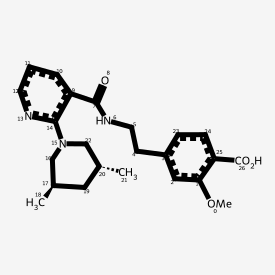 COc1cc(CCNC(=O)c2cccnc2N2C[C@H](C)C[C@@H](C)C2)ccc1C(=O)O